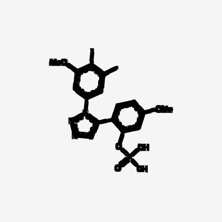 COc1ccc(-c2cnnn2-c2cc(C)c(C)c(OC)c2)c(OP(=O)(O)O)c1